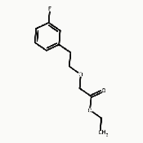 CCOC(=O)COCCc1cccc(F)c1